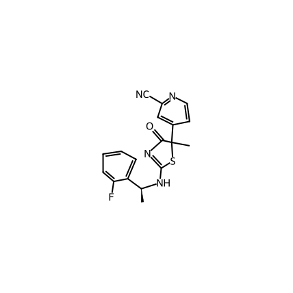 C[C@H](NC1=NC(=O)C(C)(c2ccnc(C#N)c2)S1)c1ccccc1F